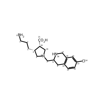 BCCC[C@H]1CN(CC2Cc3ccc(Cl)cc3CN2)C[C@H]1C(=O)O